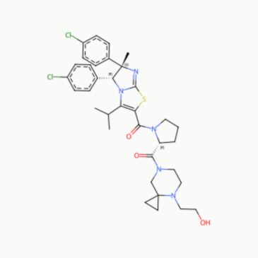 CC(C)C1=C(C(=O)N2CCC[C@@H]2C(=O)N2CCN(CCO)C3(CC3)C2)SC2=N[C@@](C)(c3ccc(Cl)cc3)[C@@H](c3ccc(Cl)cc3)N21